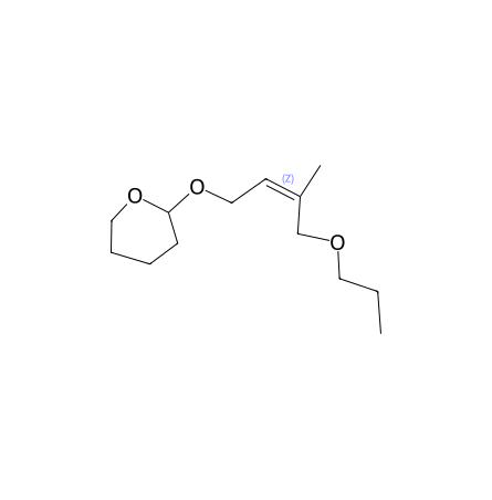 CCCOC/C(C)=C\COC1CCCCO1